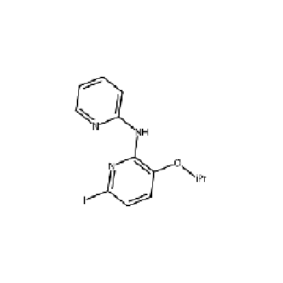 CC(C)Oc1ccc(I)nc1Nc1ccccn1